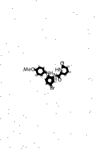 COC1CCC(Nc2ccc(Br)cc2NC(=O)C2CCCC(=O)N2)CC1